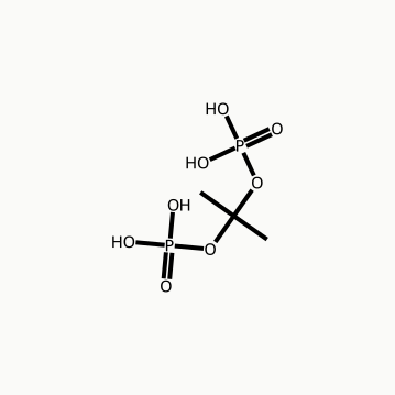 CC(C)(OP(=O)(O)O)OP(=O)(O)O